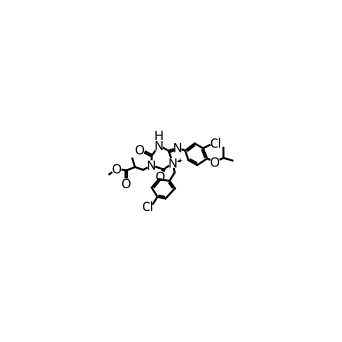 COC(=O)C(C)CN1C(=O)NC(=Nc2ccc(OC(C)C)c(Cl)c2)[N@+](C)(Cc2ccc(Cl)cc2)C1=O